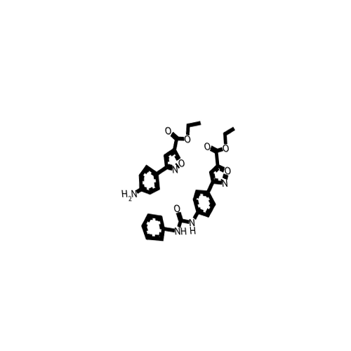 CCOC(=O)c1cc(-c2ccc(N)cc2)no1.CCOC(=O)c1cc(-c2ccc(NC(=O)Nc3ccccc3)cc2)no1